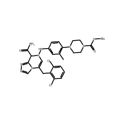 Cc1cc(NN2C=C(Cc3c(Cl)cccc3Cl)n3cnnc3C2C(N)=O)ccc1N1CCN(C(=O)OC(C)(C)C)CC1